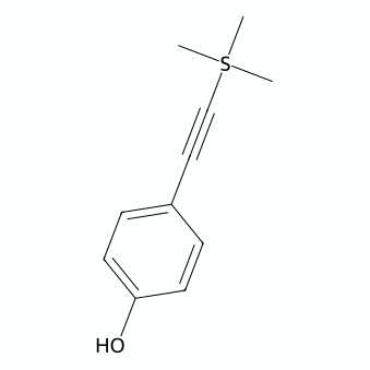 CS(C)(C)C#Cc1ccc(O)cc1